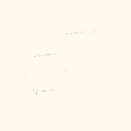 [CH2]CC1=CCN=CC1